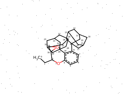 CCC(Oc1cccc(C23CC4CC(CC(C4)C2)C3)c1C12CC3CC(CC(C3)C1)C2)C1CO1